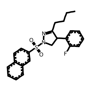 CCCCC1=NN(S(=O)(=O)c2ccc3ccccc3c2)CC1c1ccccc1F